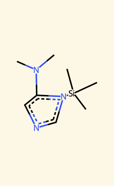 CN(C)c1cncn1[Si](C)(C)C